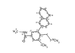 CCCc1c(C)cc(C(=O)NC)cc1-c1ccc2ncccc2c1